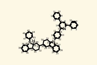 c1cccc(-c2cc(-c3ccccc3)cc(-c3ccc(-n4c5c(c6ccccc64)C=C(C4CCC6c7ccccc7N(c7ccccc7)[C@@H]6C4)CC5)cc3)n2)c#1